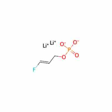 O=P([O-])([O-])OCC=CF.[Li+].[Li+]